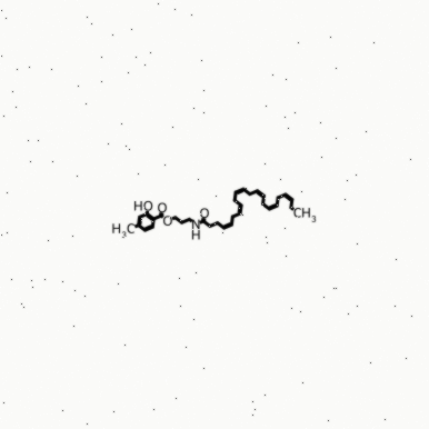 CC/C=C\C/C=C\C/C=C\C/C=C\C/C=C\C/C=C\CCC(=O)NCCCOC(=O)c1ccc(C)cc1O